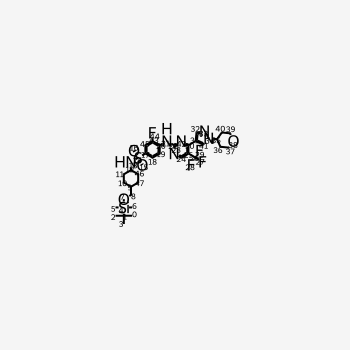 CC(C)(C)[Si](C)(C)OCC1CCC(NS(=O)(=O)c2ccc(Nc3ncc(C(F)(F)F)c(-c4cnn(C5CCOCC5)c4)n3)c(F)c2)CC1